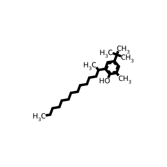 CCCCCCCCCCCCC(C)c1cc(C(C)(C)C)cc(C)c1O